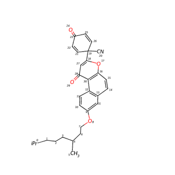 CC(C)CCCC(C)CCOc1ccc2c(ccc3oc(C4(C#N)C=CC(=O)C=C4)cc(=O)c32)c1